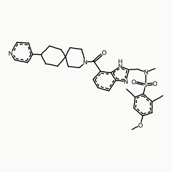 COc1cc(C)c(S(=O)(=O)N(C)Cc2nc3cccc(C(=O)N4CCC5(CCC(c6ccncc6)CC5)CC4)c3[nH]2)c(C)c1